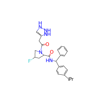 CC(C)c1ccc(C(NC(=O)C2CC(F)CN2C(=O)CC2=CNNN2)c2ccccc2)cc1